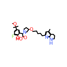 COc1c(F)cc(C(C)(C)OC)cc1[C@H](C(=O)O)N1CC[C@@H](OCCCCCc2cc(C)c3c(n2)NCCC3)C1